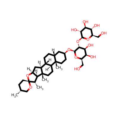 C[C@@H]1CC[C@@]2(OC1)O[C@H]1C[C@H]3[C@@H]4CC[C@@H]5C[C@@H](O[C@@H]6O[C@H](CO)[C@H](O)[C@H](O)[C@H]6O[C@@H]6O[C@H](CO)[C@@H](O)[C@H](O)[C@H]6O)CC[C@]5(C)[C@H]4CC[C@]3(C)[C@H]1[C@@H]2C